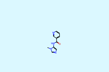 Cn1cncc1NC(=O)c1cccnc1